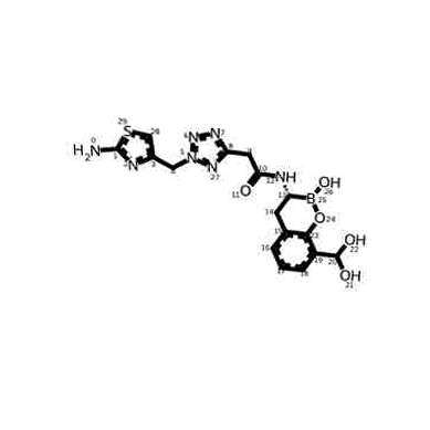 Nc1nc(Cn2nnc(CC(=O)N[C@H]3Cc4cccc(C(O)O)c4OB3O)n2)cs1